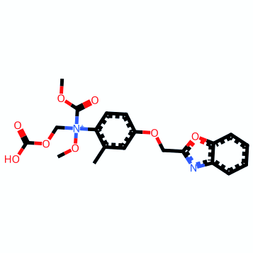 COC(=O)[N+](COC(=O)O)(OC)c1ccc(OCc2nc3ccccc3o2)cc1C